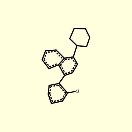 Clc1ccccc1-c1ccc(C2CCCCC2)c2ccccc12